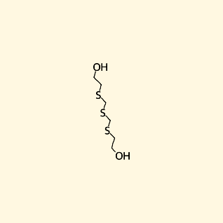 OCCSCSCSCCO